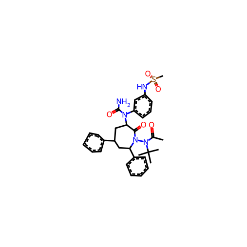 CC(=O)N(N1C(=O)C(N(C(N)=O)c2cccc(NS(C)(=O)=O)c2)CC(c2ccccc2)CC1c1ccccc1)C(C)(C)C